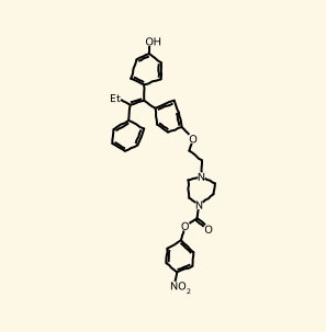 CC/C(=C(\c1ccc(O)cc1)c1ccc(OCCN2CCN(C(=O)Oc3ccc([N+](=O)[O-])cc3)CC2)cc1)c1ccccc1